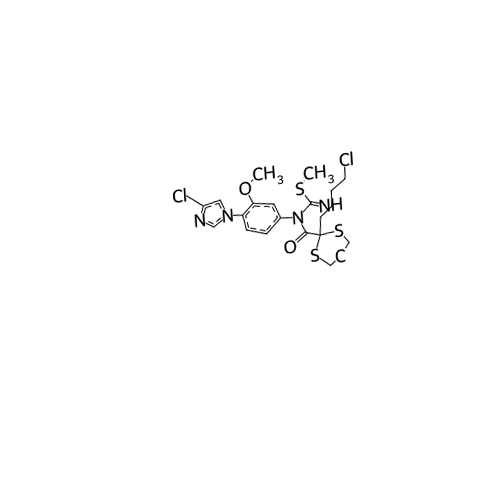 COc1cc(N(C(=N)SC)C(=O)C2(CCCCCl)SCCCS2)ccc1-n1cnc(Cl)c1